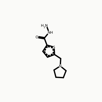 NNC(=O)c1ccc(CN2CCCC2)s1